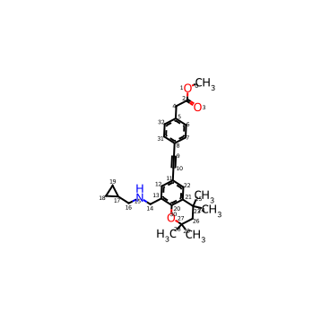 COC(=O)Cc1ccc(C#Cc2cc(CNCC3CC3)c3c(c2)C(C)(C)CC(C)(C)O3)cc1